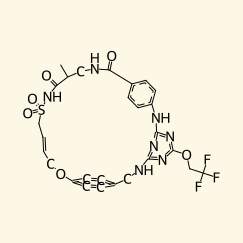 CC1CNC(=O)c2ccc(cc2)Nc2nc(nc(OCC(F)(F)F)n2)NCc2ccc(cc2)OC/C=C/CS(=O)(=O)NC1=O